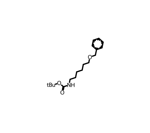 CC(C)(C)OC(=O)NCCCCCCOCc1ccccc1